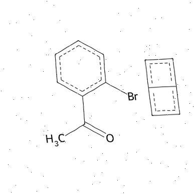 CC(=O)c1ccccc1Br.c1cc2ccc1-2